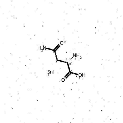 NC(=O)C[C@H](N)C(=O)O.[Sn]